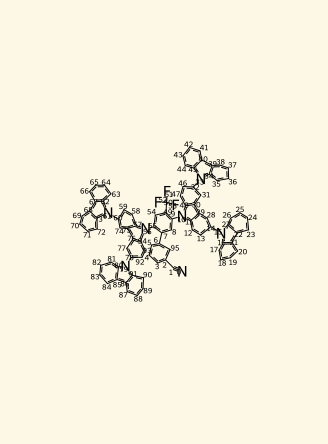 N#Cc1cccc(-c2cc(-n3c4ccc(-n5c6ccccc6c6ccccc65)cc4c4cc(-n5c6ccccc6c6ccccc65)ccc43)c(C(F)(F)F)cc2-n2c3ccc(-n4c5ccccc5c5ccccc54)cc3c3cc(-n4c5ccccc5c5ccccc54)ccc32)c1